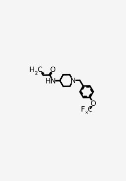 C=CC(=O)NC1CCN(Cc2ccc(OC(F)(F)F)cc2)CC1